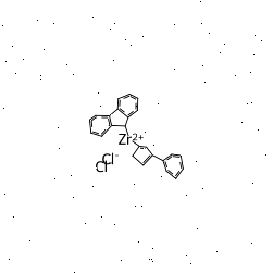 C1=[C]([Zr+2][CH]2c3ccccc3-c3ccccc32)CC=C1c1ccccc1.[Cl-].[Cl-]